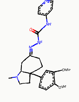 COc1ccc(C23CCC(=NNC(=O)Nc4ccncc4)CC2N(C)CC3)cc1OC